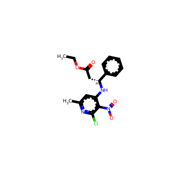 CCOC(=O)C[C@@H](Nc1cc(C)nc(Cl)c1[N+](=O)[O-])c1ccccc1